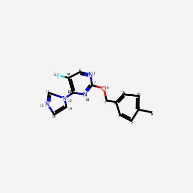 Cc1ccc(COc2ncc(F)c(-n3ccnc3)n2)cc1